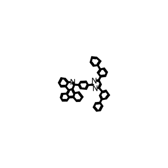 c1ccc(-c2cccc(-c3cc(-c4cccc(-c5ccccc5)c4)nc(-c4ccc(-c5nc6ccccc6c6c7ccccc7c7ccccc7c56)cc4)n3)c2)cc1